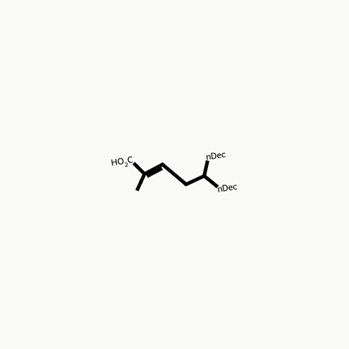 CCCCCCCCCCC(CC=C(C)C(=O)O)CCCCCCCCCC